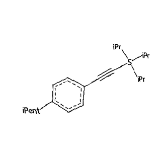 CCCC(C)c1ccc(C#CS(C(C)C)(C(C)C)C(C)C)cc1